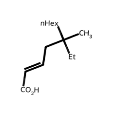 CCCCCCC(C)(CC)C/C=C/C(=O)O